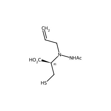 C=CCN(NC(C)=O)[C@@H](CS)C(=O)O